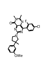 COc1cccc(C2(C)CCN(c3nc(-c4ccc(Cl)cc4F)c4nc(C)n(C)c(=O)c4n3)C2)c1